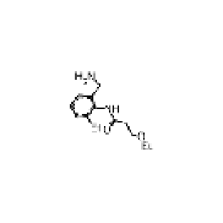 CCOCCC(=O)Nc1c(CC)cccc1CN